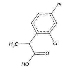 CC(C(=O)O)c1ccc(Br)cc1Cl